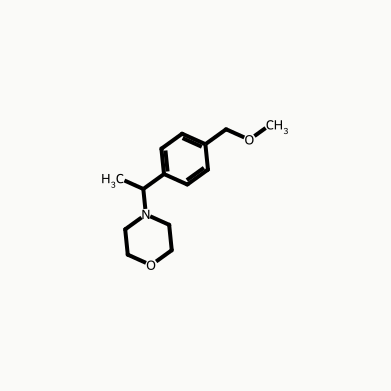 COCc1ccc(C(C)N2CCOCC2)cc1